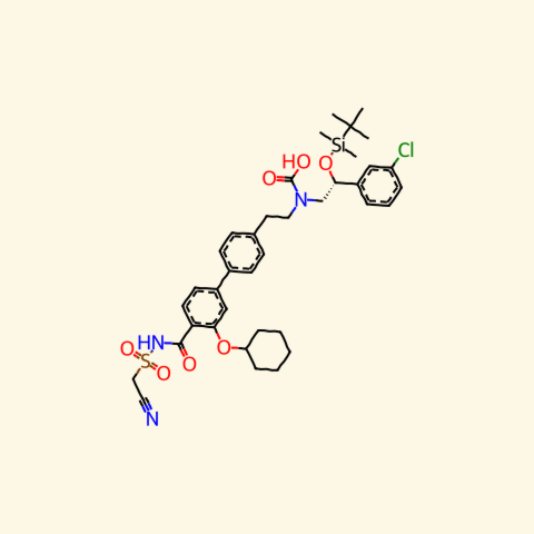 CC(C)(C)[Si](C)(C)O[C@@H](CN(CCc1ccc(-c2ccc(C(=O)NS(=O)(=O)CC#N)c(OC3CCCCC3)c2)cc1)C(=O)O)c1cccc(Cl)c1